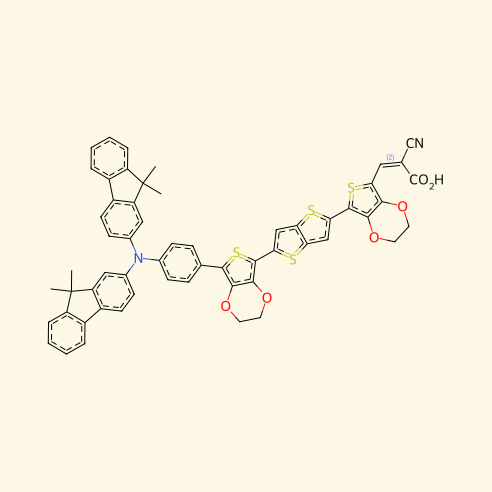 CC1(C)c2ccccc2-c2ccc(N(c3ccc(-c4sc(-c5cc6sc(-c7sc(/C=C(/C#N)C(=O)O)c8c7OCCO8)cc6s5)c5c4OCCO5)cc3)c3ccc4c(c3)C(C)(C)c3ccccc3-4)cc21